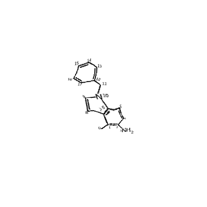 Cc1c(N)ccc2c1ccn2Cc1ccccc1